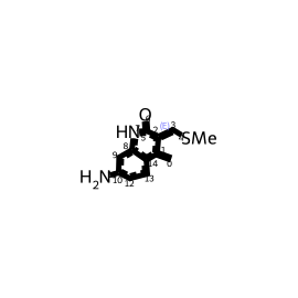 C=c1/c(=C\SC)c(=O)[nH]c2cc(N)ccc12